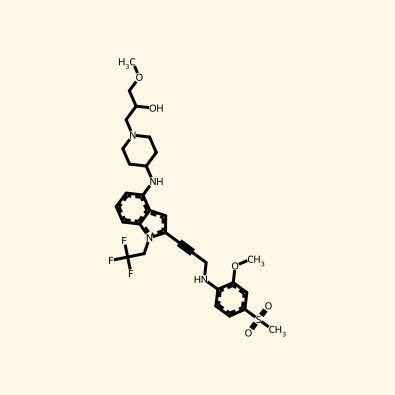 COCC(O)CN1CCC(Nc2cccc3c2cc(C#CCNc2ccc(S(C)(=O)=O)cc2OC)n3CC(F)(F)F)CC1